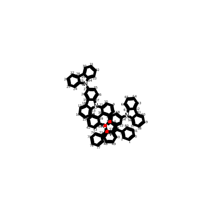 c1ccc(-c2cc(-c3cccc(-n4c5ccccc5c5cc(-n6c7ccccc7c7ccccc76)ccc54)c3-c3ccccc3-n3c4ccccc4c4cc(-n5c6ccccc6c6ccccc65)ccc43)nc(-c3ccccc3)n2)cc1